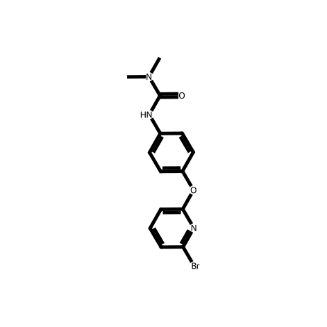 CN(C)C(=O)Nc1ccc(Oc2cccc(Br)n2)cc1